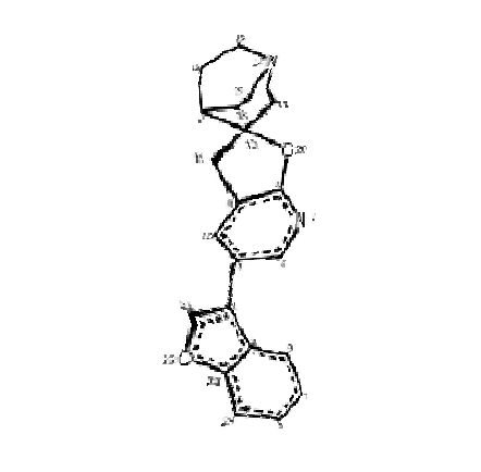 c1ccc2c(-c3cnc4c(c3)C[C@@]3(CN5CCC3CC5)O4)coc2c1